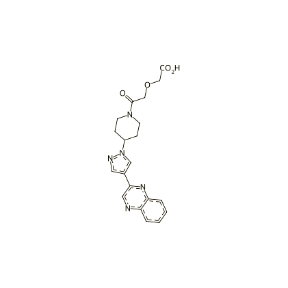 O=C(O)COCC(=O)N1CCC(n2cc(-c3cnc4ccccc4n3)cn2)CC1